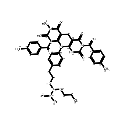 CCCCn1c(=O)c2c(n(C(=O)c3ccc(C)cc3)c1=O)N(c1ccc(CCOP(OCCC#N)N(C(C)C)C(C)C)cc1)c1[nH]c(=O)n(C(=O)c3ccc(C)cc3)c(=O)c1C2